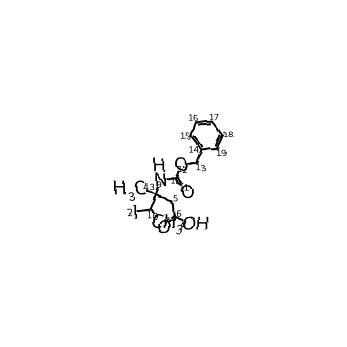 CC(I)[C@@](C)(CC(=O)O)NC(=O)OCc1ccccc1